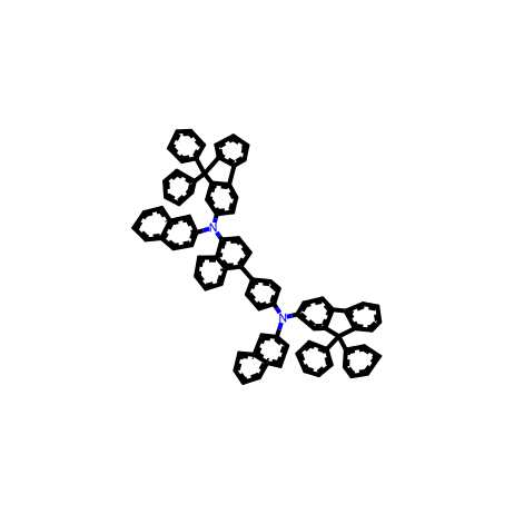 c1ccc(C2(c3ccccc3)c3ccccc3-c3ccc(N(c4ccc(-c5ccc(N(c6ccc7c(c6)C(c6ccccc6)(c6ccccc6)c6ccccc6-7)c6ccc7ccccc7c6)c6ccccc56)cc4)c4ccc5ccccc5c4)cc32)cc1